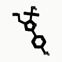 COCn1cc(-c2ccc(C)cc2)nc1S(C)(=O)=O